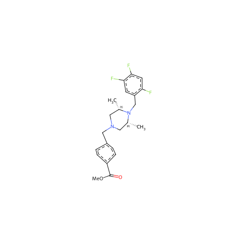 COC(=O)c1ccc(CN2C[C@@H](C)N(Cc3cc(F)c(F)cc3F)[C@@H](C)C2)cc1